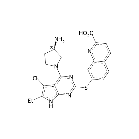 CCc1[nH]c2nc(Sc3ccc4ccc(C(=O)O)nc4c3)nc(N3CC[C@@H](N)C3)c2c1Cl